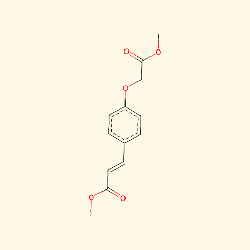 COC(=O)C=Cc1ccc(OCC(=O)OC)cc1